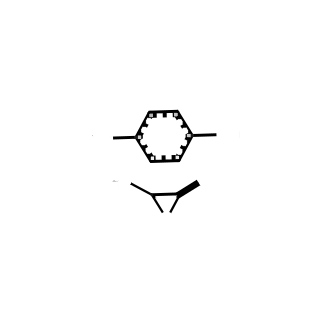 CC(=O)Oc1ccc(S(=O)(=O)O)cc1.CCCCCCCC1OC1=O